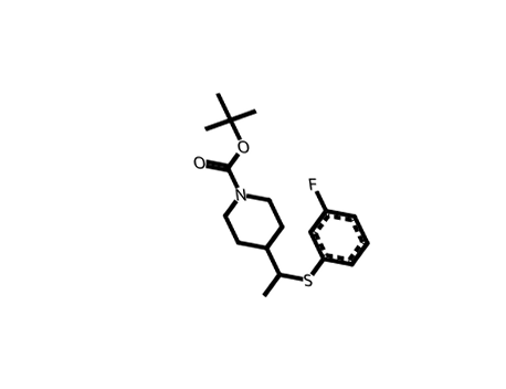 CC(Sc1cccc(F)c1)C1CCN(C(=O)OC(C)(C)C)CC1